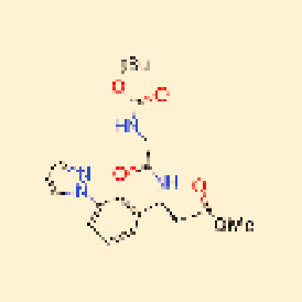 COC(=O)C[C@H](NC(=O)CNC(=O)OC(C)(C)C)c1cccc(-n2cccn2)c1